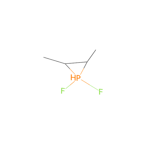 CC1C(C)[PH]1(F)F